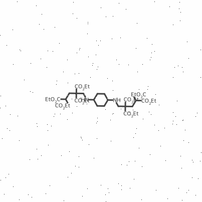 CCOC(=O)C(CC(CNC1CCC(NCC(CC(C(=O)OCC)C(=O)OCC)(C(=O)OCC)C(=O)OCC)CC1)(C(=O)OCC)C(=O)OCC)C(=O)OCC